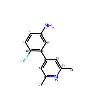 Cc1cc(-c2cc(N)ccc2F)cc(C)n1